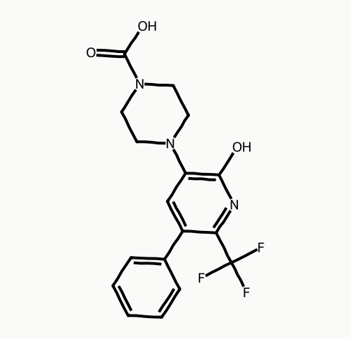 O=C(O)N1CCN(c2cc(-c3ccccc3)c(C(F)(F)F)nc2O)CC1